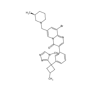 CC1CC(c2cccc(-c3cnc4c(Br)cc(CN5CCC[C@H](C)C5)cn4c3=O)c2)(c2nncn2C)C1